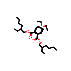 CCCCC(CC)COC(=O)c1ccccc1C(=O)OCC(CC)CCCC.CCOCC